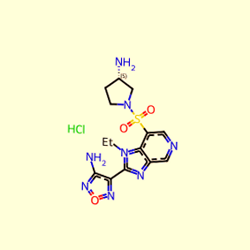 CCn1c(-c2nonc2N)nc2cncc(S(=O)(=O)N3CC[C@H](N)C3)c21.Cl